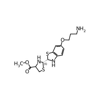 COC(=O)C1CS[C@@H](C2Nc3ccc(OCCCN)cc3S2)N1